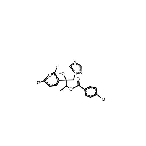 CC(OC(=O)c1ccc(Cl)cc1)C(O)(Cn1cncn1)c1ccc(Cl)cc1Cl